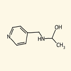 CC(O)NCc1ccncc1